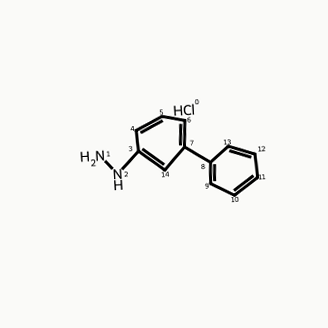 Cl.NNc1cccc(-c2ccccc2)c1